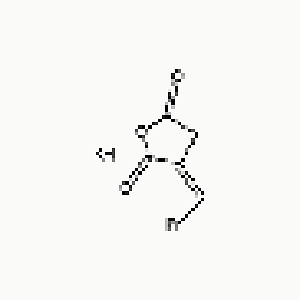 CC(C)C=C1CC(=O)OC1=O.[KH]